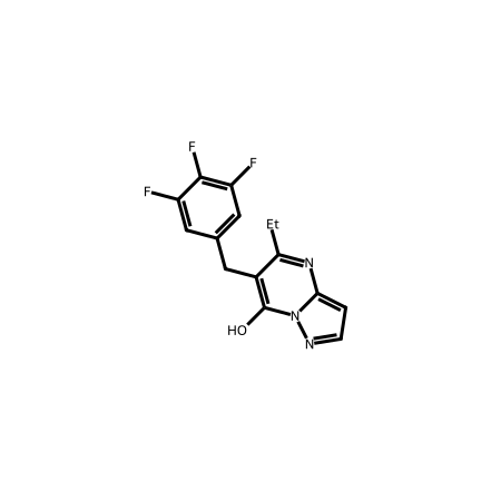 CCc1nc2ccnn2c(O)c1Cc1cc(F)c(F)c(F)c1